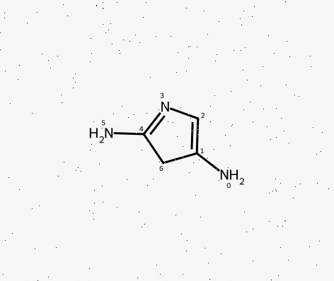 NC1=CN=C(N)C1